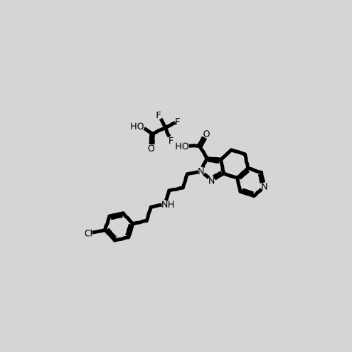 O=C(O)C(F)(F)F.O=C(O)c1c2c(nn1CCCNCCc1ccc(Cl)cc1)-c1ccncc1CC2